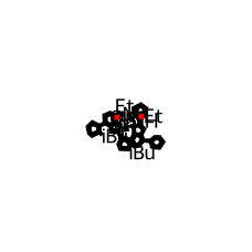 CCC(=O)N[B](NC(=O)CC)[Zr]([Cl])([Cl])([CH]1C(c2ccccc2)=Cc2c(-c3ccccc3C(C)CC)cccc21)[CH]1C(c2ccccc2)=Cc2c(-c3ccccc3C(C)CC)cccc21